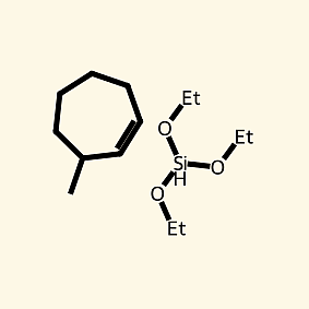 CC1C=CCCCC1.CCO[SiH](OCC)OCC